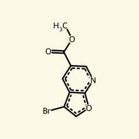 COC(=O)c1cnc2occ(Br)c2c1